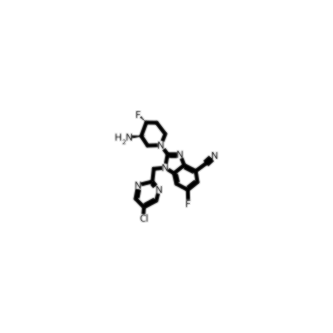 N#Cc1cc(F)cc2c1nc(N1CC[C@@H](F)[C@H](N)C1)n2Cc1ncc(Cl)cn1